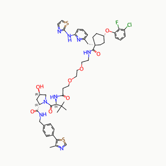 Cc1ncsc1-c1ccc(CNC(=O)[C@@H]2C[C@@H](O)CN2C(=O)[C@@H](NC(=O)CCOCCOCCNC(=O)[C@]2(Cc3cccc(Nc4nccs4)n3)CC[C@@H](Oc3cccc(Cl)c3F)CC2)C(C)(C)C)cc1